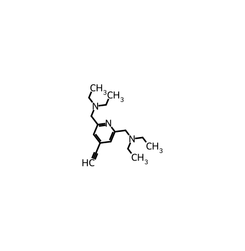 C#Cc1cc(CN(CC)CC)nc(CN(CC)CC)c1